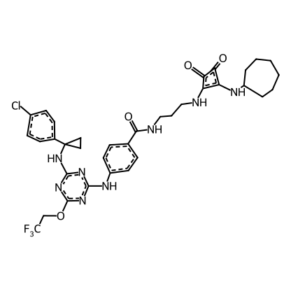 O=C(NCCCNc1c(NC2CCCCCC2)c(=O)c1=O)c1ccc(Nc2nc(NC3(c4ccc(Cl)cc4)CC3)nc(OCC(F)(F)F)n2)cc1